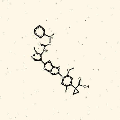 COc1cc(C2(C(=O)O)CC2)c(F)cc1-c1cc2sc(-c3cnn(C)c3NC(=O)O[C@H](C)c3ccccc3)cc2s1